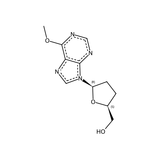 COc1ncnc2c1ncn2[C@H]1CC[C@@H](CO)O1